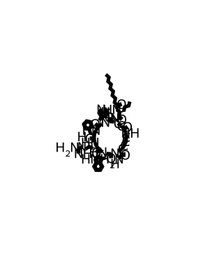 CCCCCCCCCC(=O)N[C@@H](CCCC)C(=O)N[C@H]1CCC(=O)NCCCC[C@@H](C(N)=O)NC(=O)[C@H](Cc2c[nH]c3ccccc23)NC(=O)[C@H](CCCNC(=N)N)NC(=O)[C@@H](Cc2ccccc2)NC(=O)[C@H](Cc2cccnc2)NC1=O